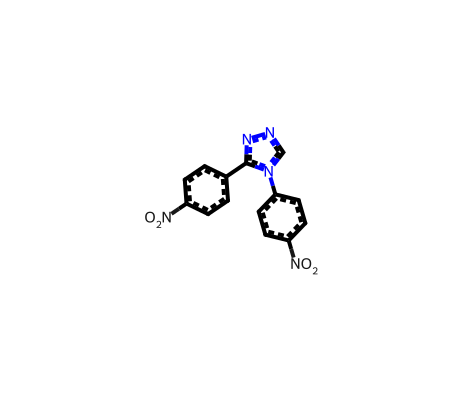 O=[N+]([O-])c1ccc(-c2nncn2-c2ccc([N+](=O)[O-])cc2)cc1